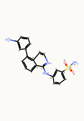 Nc1cccc(-c2cccc3c(Nc4cccc(S(N)(=O)=O)c4)nccc23)c1